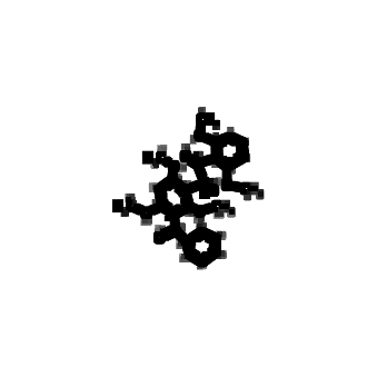 COc1cccc(OC)c1C(=O)[PH](=O)c1c(OC)cc(OC)c(C(=O)c2ccccc2)c1OC